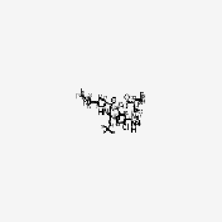 CC(C)(C)CCNC(=N)N(C(=O)c1ccc(-c2cnn(C(F)F)c2)cc1)[C@H](COC(=O)N(CC(F)(F)F)C1CC1)c1ccc(Cl)c(-c2ncn[nH]2)c1